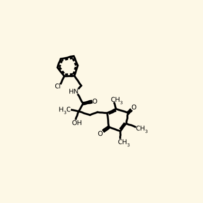 CC1=C(C)C(=O)C(CCC(C)(O)C(=O)NCc2ccccc2Cl)=C(C)C1=O